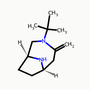 C=C1C[C@H]2CC[C@@H](CN1C(C)(C)C)N2